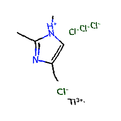 CC1=C[NH+](C)C(C)=N1.[Cl-].[Cl-].[Cl-].[Cl-].[Ti+3]